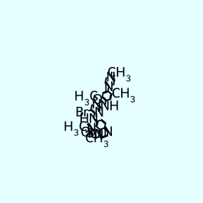 CCN(c1c(Nc2nc(Nc3cc(C)c(N4CCN(C)CC4)cc3OC)ncc2Br)ccc2nccnc12)S(C)(=O)=O